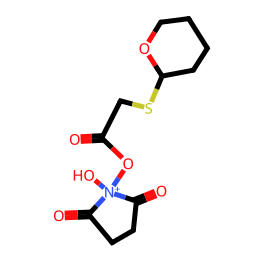 O=C(CSC1CCCCO1)O[N+]1(O)C(=O)CCC1=O